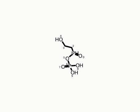 O=[PH](CCO)OP(=O)(O)O